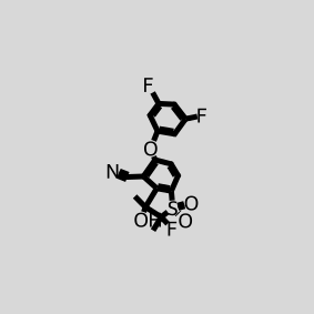 CC1(O)c2c(ccc(Oc3cc(F)cc(F)c3)c2C#N)S(=O)(=O)C1(C)F